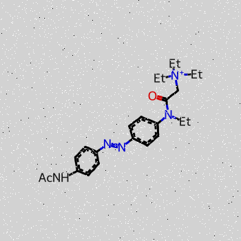 CCN(C(=O)C[N+](CC)(CC)CC)c1ccc(/N=N/c2ccc(NC(C)=O)cc2)cc1